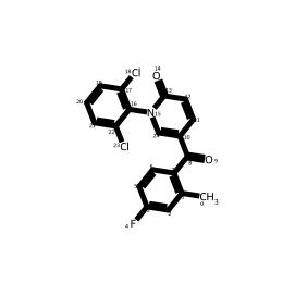 Cc1cc(F)ccc1C(=O)c1ccc(=O)n(-c2c(Cl)cccc2Cl)c1